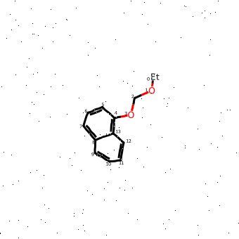 CCOCOc1[c]ccc2ccccc12